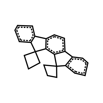 c1ccc2c(c1)-c1ccc3c(c1C21CCC1)C1(CCC1)c1ccccc1-3